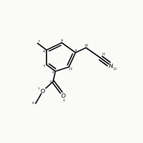 COC(=O)c1cc(C)cc(CC#N)c1